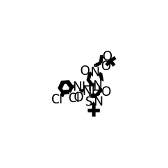 CC1(C)OCC(CN2CCN(C(=O)c3nc(C(C)(C)C)sc3NC(=O)Nc3cccc(Cl)c3Cl)CCC2=O)O1